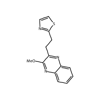 COc1nc2ccccc2nc1CCc1nccs1